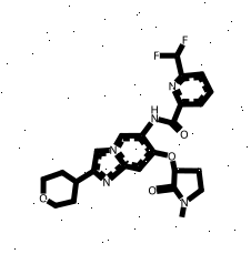 CN1CCC(Oc2cc3nc(C4CCOCC4)cn3cc2NC(=O)c2cccc(C(F)F)n2)C1=O